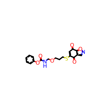 O=C(NCOCCCSC1=CC(=O)c2oncc2C1=O)Oc1ccccc1